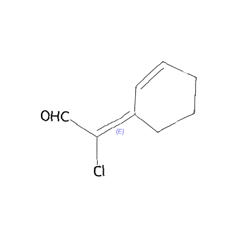 O=C/C(Cl)=C1\C=CCCC1